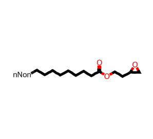 CCCCCCCCCCCCCCCCCC(=O)OCCC1CO1